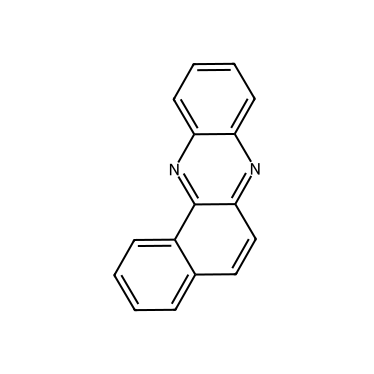 c1ccc2c(c1)ccc1nc3ccccc3nc12